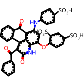 O=C(c1ccccc1)c1c2c3c(c(Nc4ccc(S(=O)(=O)O)cc4)cc(Oc4ccc(S(=O)(=O)O)cc4S(=O)(=O)O)c3[nH]c1=O)C(=O)c1ccccc1-2